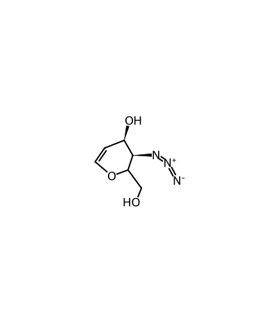 [N-]=[N+]=N[C@H]1C(CO)OC=C[C@H]1O